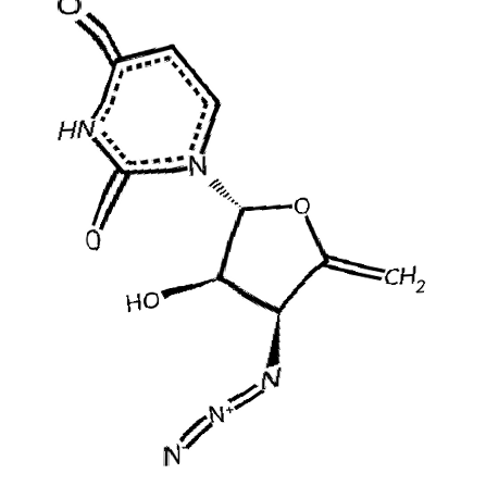 C=C1O[C@@H](n2ccc(=O)[nH]c2=O)[C@H](O)[C@@H]1N=[N+]=[N-]